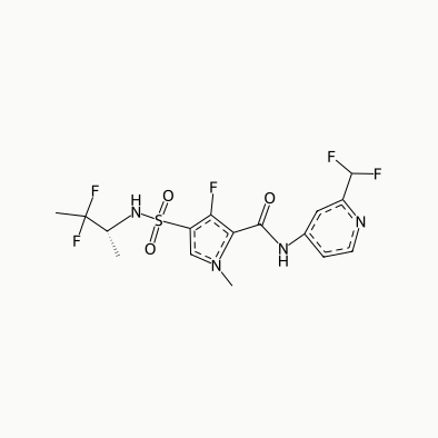 C[C@@H](NS(=O)(=O)c1cn(C)c(C(=O)Nc2ccnc(C(F)F)c2)c1F)C(C)(F)F